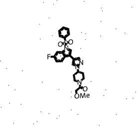 COCC(=O)N1CCC(n2cc(-c3cn(S(=O)(=O)c4ccccc4)c4cc(F)ccc34)cn2)CC1